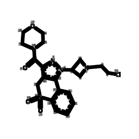 O=C(c1nn(C2CN(CCCl)C2)c2c1CS(=O)(=O)c1ccccc1-2)N1CCOCC1